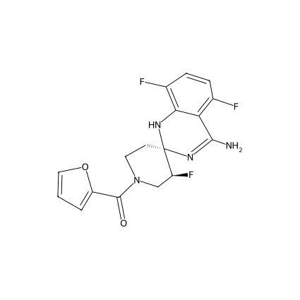 NC1=N[C@]2(CCN(C(=O)c3ccco3)C[C@@H]2F)Nc2c(F)ccc(F)c21